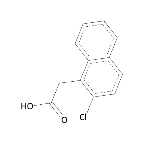 O=C(O)Cc1c(Cl)ccc2ccccc12